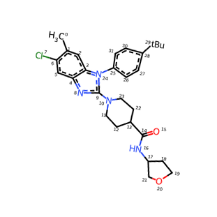 Cc1cc2c(cc1Cl)nc(N1CCC(C(=O)NC3CCOC3)CC1)n2-c1ccc(C(C)(C)C)cc1